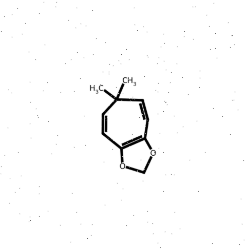 CC1(C)C=CC2=C(C=C1)OCO2